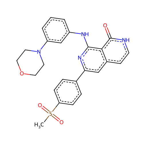 CS(=O)(=O)c1ccc(-c2cc3cc[nH]c(=O)c3c(Nc3cccc(N4CCOCC4)c3)n2)cc1